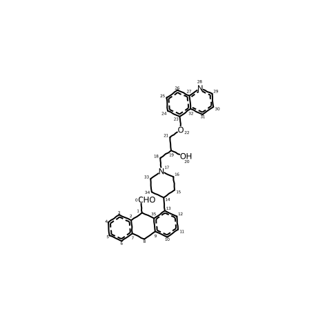 O=CC1c2ccccc2Cc2cccc(C3CCN(CC(O)COc4cccc5ncccc45)CC3)c21